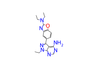 CCN(CC)c1nc2cc(-c3nn(CC)c4ncnc(N)c34)ccc2o1